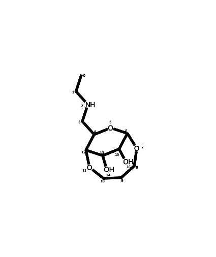 CCNCC1OC2OCCCOC1C(O)C2O